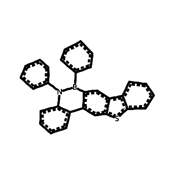 c1ccc(B2c3cc4c(cc3-c3ccccc3N2c2ccccc2)sc2ccccc24)cc1